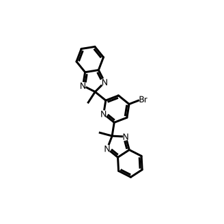 CC1(c2cc(Br)cc(C3(C)N=c4ccccc4=N3)n2)N=c2ccccc2=N1